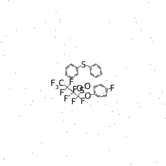 O=S(=O)(Oc1ccc(F)cc1)C(F)(F)C(F)(F)C(F)(F)C(F)(F)F.c1ccc(Sc2ccccc2)cc1